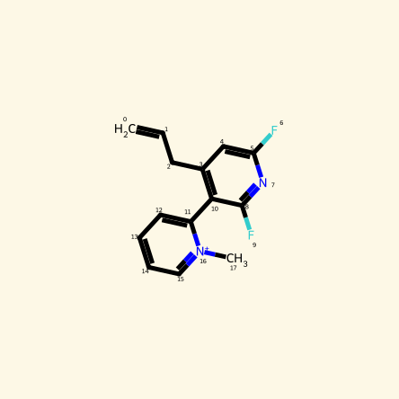 C=CCc1cc(F)nc(F)c1-c1cccc[n+]1C